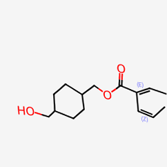 C/C=C\C(=C/C)C(=O)OCC1CCC(CO)CC1